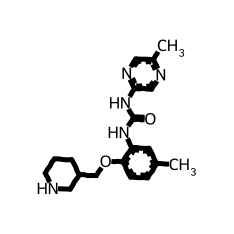 Cc1ccc(OCC2CCCNC2)c(NC(=O)Nc2cnc(C)cn2)c1